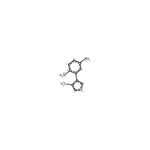 Cc1cscc1-c1cc(N)ccc1N